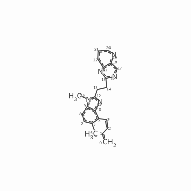 C=C/C=C\c1c(C)ccc2c1nc(CCc1ncc3ncccc3n1)n2C